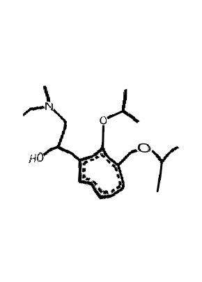 CC(C)Oc1cccc(C(O)CN(C)C)c1OC(C)C